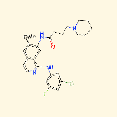 COc1cc2ccnc(Nc3cc(F)cc(Cl)c3)c2cc1NC(=O)CCCN1CCCCC1